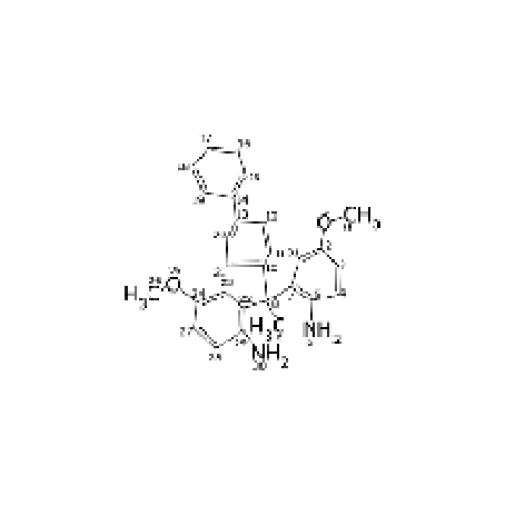 COc1ccc(N)c(C(C)(c2ccc(-c3ccccc3)cc2)c2cc(OC)ccc2N)c1